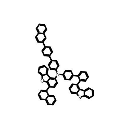 c1ccc(-c2cccc3sc4ccccc4c23)c(-c2ccc(N(c3ccc(-c4ccc(-c5ccc6ccccc6c5)cc4)cc3)c3ccc(-c4cccc5ccccc45)c4oc5ccccc5c34)cc2)c1